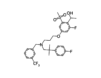 CC(O)c1c(F)cc(OCCCN(Cc2cccc(C(F)(F)F)c2)CC(C)(C)c2ccc(F)cc2)cc1S(C)(=O)=O